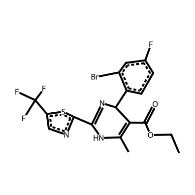 CCOC(=O)C1=C(C)NC(c2ncc(C(F)(F)F)s2)=NC1c1ccc(F)cc1Br